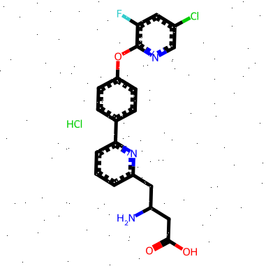 Cl.NC(CC(=O)O)Cc1cccc(-c2ccc(Oc3ncc(Cl)cc3F)cc2)n1